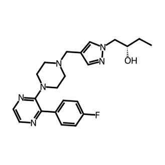 CC[C@H](O)Cn1cc(CN2CCN(c3nccnc3-c3ccc(F)cc3)CC2)cn1